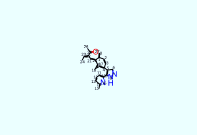 C=C1\C=C/C(c2cn[nH]c2-c2cccc(C)n2)=C/C=C/C1=C/C(=C\C)C(C)=O